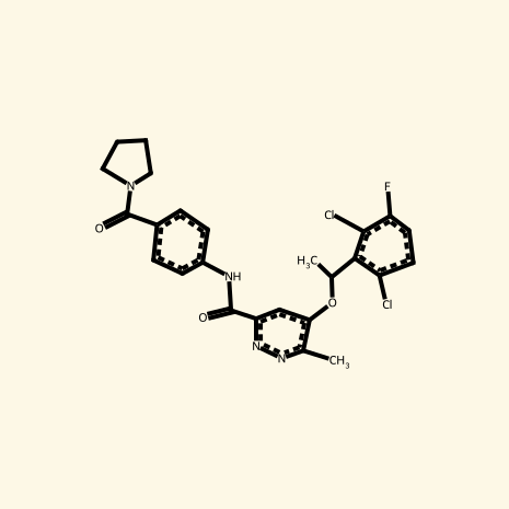 Cc1nnc(C(=O)Nc2ccc(C(=O)N3CCCC3)cc2)cc1OC(C)c1c(Cl)ccc(F)c1Cl